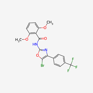 COc1cccc(OC)c1C(=O)Nc1nc(-c2ccc(C(F)(F)F)cc2)c(Br)o1